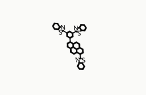 c1ccc2sc(-c3cc(-c4nc5ccccc5s4)cc(-c4ccc5ccc6c(-c7nc8ccccc8s7)ccc7ccc4c5c76)c3)nc2c1